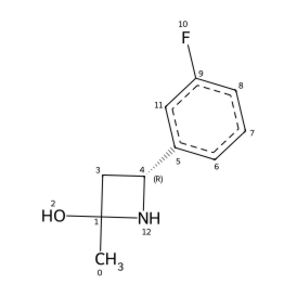 CC1(O)C[C@H](c2cccc(F)c2)N1